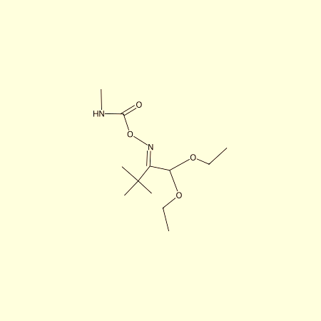 CCOC(OCC)C(=NOC(=O)NC)C(C)(C)C